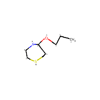 CCCOC1CSCC[N]1